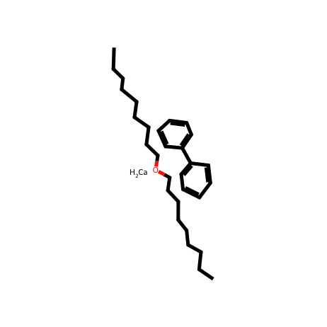 CCCCCCCCCOCCCCCCCCC.[CaH2].c1ccc(-c2ccccc2)cc1